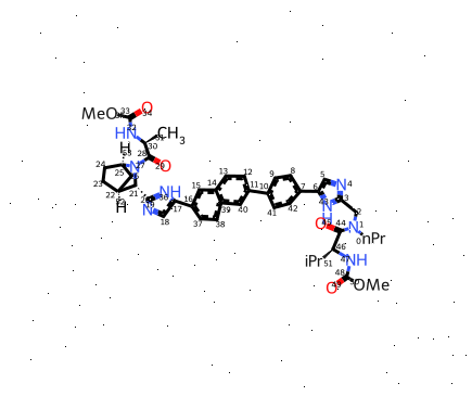 CCCN(Cc1ncc(-c2ccc(-c3ccc4cc(-c5cnc([C@@H]6[C@H]7CC[C@H](C7)N6C(=O)[C@H](C)NC(=O)OC)[nH]5)ccc4c3)cc2)[nH]1)C(=O)[C@@H](NC(=O)OC)C(C)C